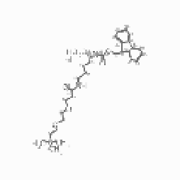 C[N+](C)(C)CCOCCOCCC(=O)NCCCC[C@H](NC(=O)OCC1c2ccccc2-c2ccccc21)C(=O)O.[I-]